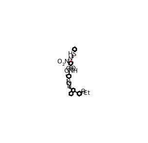 CCOc1cccc(-c2ccc(CN3CCN(c4ccc(C(=O)NS(=O)(=O)c5ccc(NCCSc6ccccc6)c([N+](=O)[O-])c5)cc4)CC3)c3ccccc23)c1